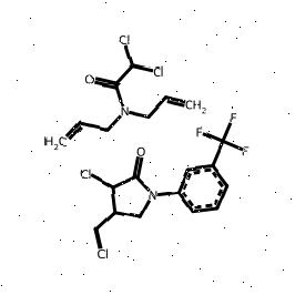 C=CCN(CC=C)C(=O)C(Cl)Cl.O=C1C(Cl)C(CCl)CN1c1cccc(C(F)(F)F)c1